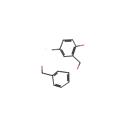 BrCc1ccccc1.COc1ccc(Br)c(CBr)c1